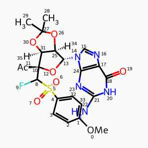 COc1ccc(S(=O)(=O)C(F)[C@@]2(C(C)=O)O[C@@H](n3cnc4c(=O)[nH]c(N)nc43)[C@@H]3OC(C)(C)O[C@@H]32)cc1